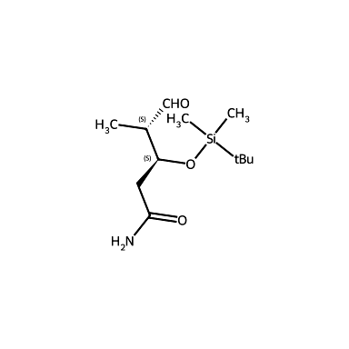 C[C@H](C=O)[C@H](CC(N)=O)O[Si](C)(C)C(C)(C)C